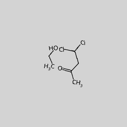 CC(=O)CC(Cl)Cl.CCO